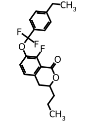 CCCC1Cc2ccc(OC(F)(F)c3ccc(CC)cc3)c(F)c2C(=O)O1